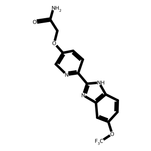 NC(=O)COc1ccc(-c2nc3cc(OC(F)(F)F)ccc3[nH]2)nc1